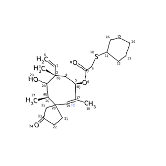 C=C[C@]1(C)C[C@@H](OC(=O)CSC2CCCCC2)/C(C)=C\C2(CCC(=O)C2)[C@@H](C)C1O